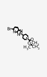 CC(C)(C)OC(=O)N1CCC(n2nc3ccc(Br)nc3n2)CC1